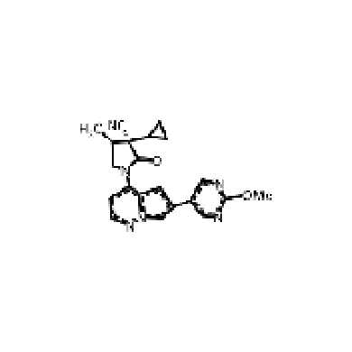 COc1ncc(-c2cc3c(N4C[C@@H](C)[C@@](C#N)(C5CC5)C4=O)ccnn3c2)cn1